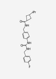 CC(C)C1CC(C(=O)NCc2ccc(NC(=O)NCc3ccc(F)cc3)cc2)C1